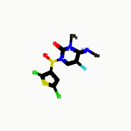 CC(=O)/N=c1\c(F)cn([S+]([O-])c2cc(Cl)sc2Cl)c(=O)n1C